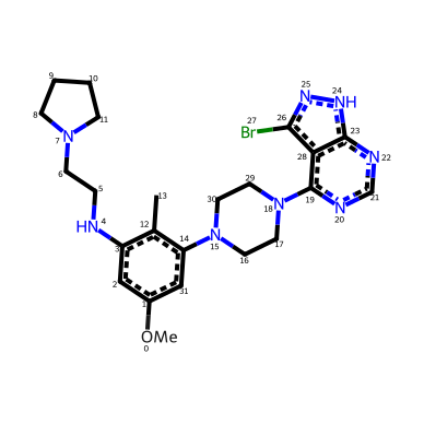 COc1cc(NCCN2CCCC2)c(C)c(N2CCN(c3ncnc4[nH]nc(Br)c34)CC2)c1